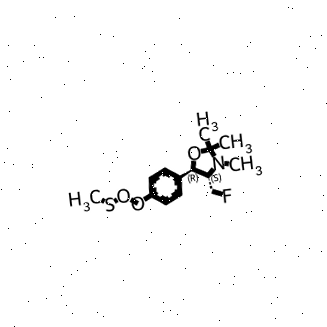 CSOOc1ccc([C@H]2OC(C)(C)N(C)[C@@H]2CF)cc1